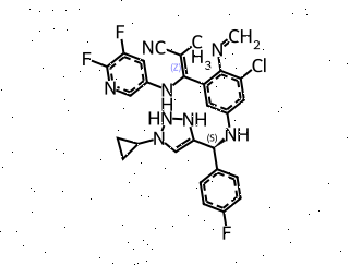 C=Nc1c(Cl)cc(N[C@H](C2=CN(C3CC3)NN2)c2ccc(F)cc2)cc1/C(Nc1cnc(F)c(F)c1)=C(\C)C#N